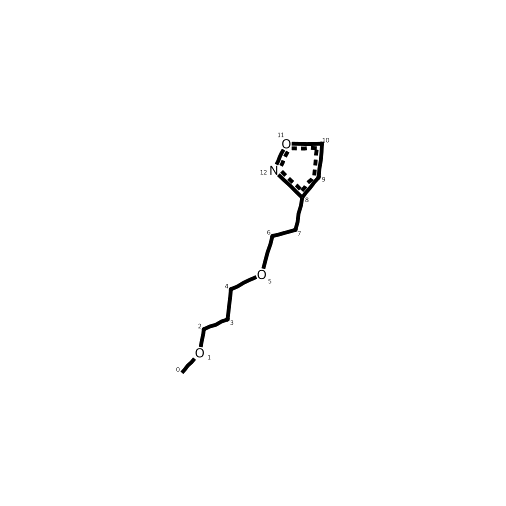 COCCCOCCc1ccon1